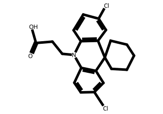 O=C(O)CCN1c2ccc(Cl)cc2C2(CCCCC2)c2cc(Cl)ccc21